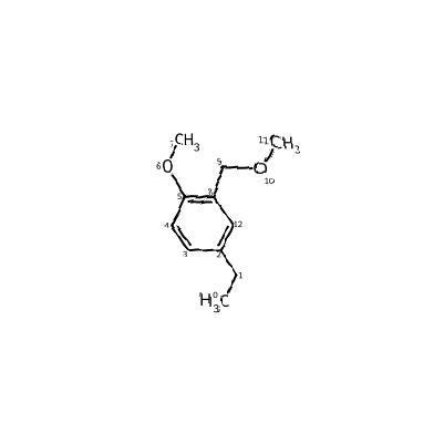 CCc1ccc(OC)c(COC)c1